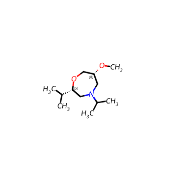 CO[C@H]1CO[C@@H](C(C)C)CN(C(C)C)C1